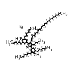 CCCCCCCCCCCCCCCCCCCCC#CC1=C(c2cc(CCCCCC)c(C)c(CCCCCC)c2)[N+](=[N-])C(c2cc(CCCCCC)c(C)c(CCCCCC)c2)=C1CCCC.[Ni]